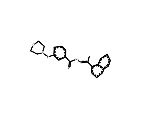 C/C(=N\NC(=O)c1cccc(SN2CCOCC2)c1)c1cccc2ccccc12